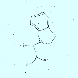 FC(F)C(F)N1CCc2ccccc21